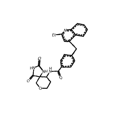 CCc1cc(Cc2ccc(C(=O)NC3CCOCC34NC(=O)NC4=O)cc2)c2ccccc2n1